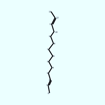 CC=CCCCCCCCCC=CC